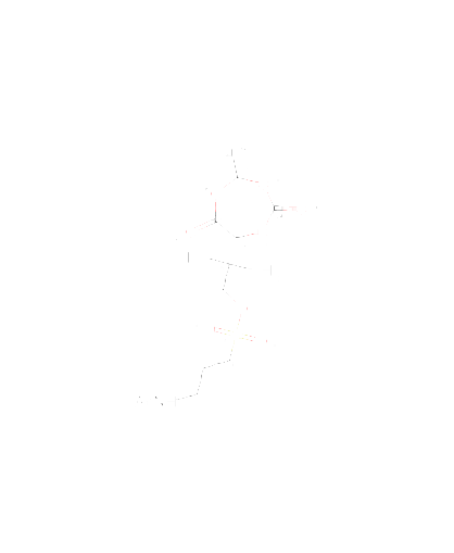 CC(=O)NCCCS(=O)(=O)OCC(C)(C)[C@H]1OC(=O)OC(C(C)C)OC1=O